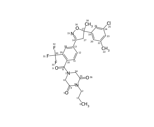 CCCN1C(=O)CN(C(=O)c2ccc(C3=NOC(C)(c4cc(C)cc(Cl)c4)C3)cc2C(F)(F)F)CC1=O